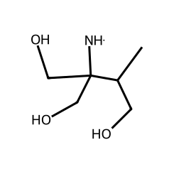 CC(CO)C([NH])(CO)CO